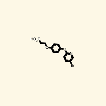 O=C(O)CCOc1ccc(Oc2ccc(Br)cn2)cc1